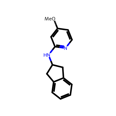 COc1ccnc(NC2Cc3ccccc3C2)c1